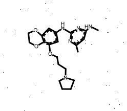 CNc1cc(C)nc(Nc2cc(OCCCN3CCCC3)c3c(c2)OCCO3)n1